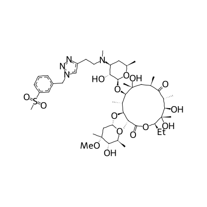 CC[C@H]1OC(=O)[C@H](C)[C@@H](O[C@H]2C[C@@](C)(OC)[C@@H](O)[C@H](C)O2)[C@H](C)[C@@H](O[C@@H]2O[C@H](C)C[C@H](N(C)CCc3cn(Cc4cccc(S(C)(=O)=O)c4)nn3)[C@H]2O)[C@](C)(O)C[C@@H](C)C(=O)[C@H](C)[C@@H](O)[C@]1(C)O